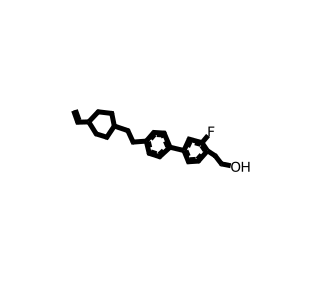 C=CC1CCC(CCc2ccc(-c3ccc(CCO)c(F)c3)cc2)CC1